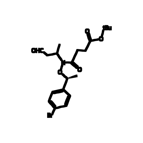 CC(CC=O)N(O[C@H](C)c1ccc(Br)cc1)C(=O)CCC(=O)OC(C)(C)C